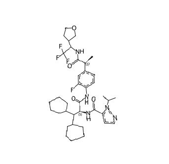 CC(C)n1nccc1C(=O)N[C@H](C(=O)Nc1ccc([C@H](C)C(=O)NC(C2CCOC2)C(F)(F)F)cc1F)C(C1CCCCC1)C1CCCCC1